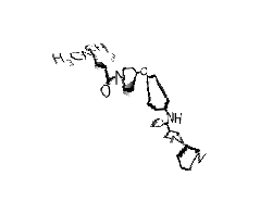 CN(C)CCC(=O)N1CCC(Oc2ccc(NC(=O)C3CN(c4cccnc4)C3)cc2)CC1